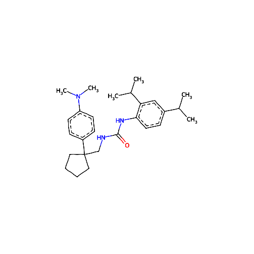 CC(C)c1ccc(NC(=O)NCC2(c3ccc(N(C)C)cc3)CCCC2)c(C(C)C)c1